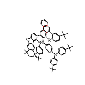 CC(C)(C)c1ccc(N2B3c4ccc(N(c5ccc(C(C)(C)C)cc5)c5ccc(C(C)(C)C)cc5)cc4N(c4ccc(C(C)(C)C)cc4-c4ccccc4)c4cc(-c5ccccc5)cc(c43)-c3ccc4oc5cc6c(cc5c4c32)C(C)(C)CCC6(C)C)cc1